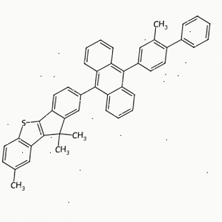 Cc1ccc2sc3c(c2c1)C(C)(C)c1cc(-c2c4ccccc4c(-c4ccc(-c5ccccc5)c(C)c4)c4ccccc24)ccc1-3